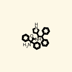 NC(C(=O)NC(C1CCNC1)C(c1ccccc1)c1ccccc1)(c1ccccc1)c1ccccc1